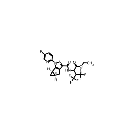 CCOC(=O)C(NC(=O)c1nn(-c2ccc(F)cn2)c2c1C[C@H]1C[C@@H]21)C(C(F)(F)F)C(F)(F)F